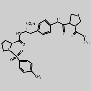 Cc1ccc(S(=O)(=O)N2CCC[C@H]2C(=O)N[C@@H](Cc2ccc(NC(=O)C3CSCN3C(=O)OC(C)(C)C)cc2)C(=O)O)cc1